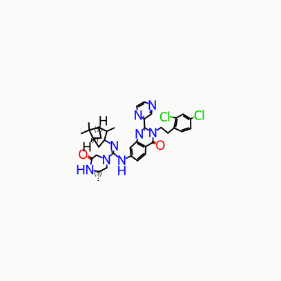 CC1C(N=C(Nc2ccc3c(=O)n(CCc4ccc(Cl)cc4Cl)c(-c4cnccn4)nc3c2)N2CC(=O)N[C@@H](C)C2)C[C@H]2C[C@@H]1C2(C)C